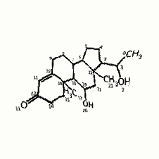 CC(O)C1CCC2C3CCC4=CC(=O)CCC4(C)C3C(O)CC12C